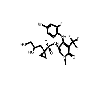 Cn1cc(NS(=O)(=O)C2(CC(O)CO)CC2)c(Nc2ccc(Br)cc2F)c(C(F)(F)F)c1=O